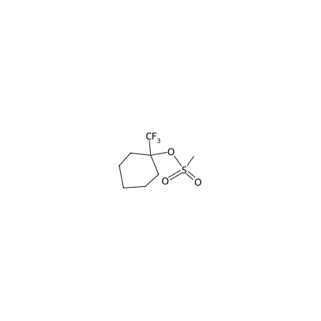 CS(=O)(=O)OC1(C(F)(F)F)CCCCC1